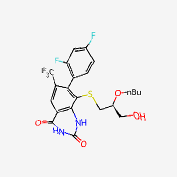 CCCCO[C@@H](CO)CSc1c(-c2ccc(F)cc2F)c(C(F)(F)F)cc2c(=O)[nH]c(=O)[nH]c12